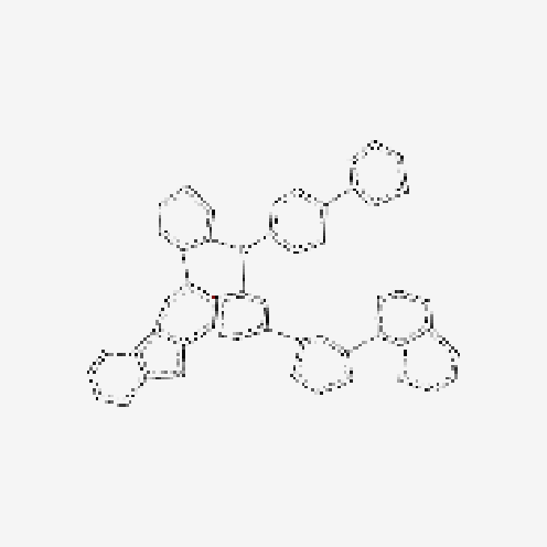 c1ccc(-c2ccc(N(c3cccc(-c4cccc(-c5cccc6ccccc56)c4)c3)c3ccccc3-c3ccc4sc5ccccc5c4c3)cc2)cc1